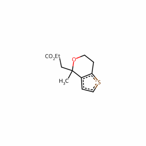 CCOC(=O)CC1(C)OCCc2sccc21